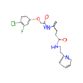 C=C(CCC(=O)NCCc1ccccn1)NC(=O)COc1ccc(Cl)c(F)c1